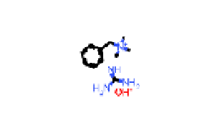 C[N+](C)(C)Cc1ccccc1.N=C(N)N.[OH-]